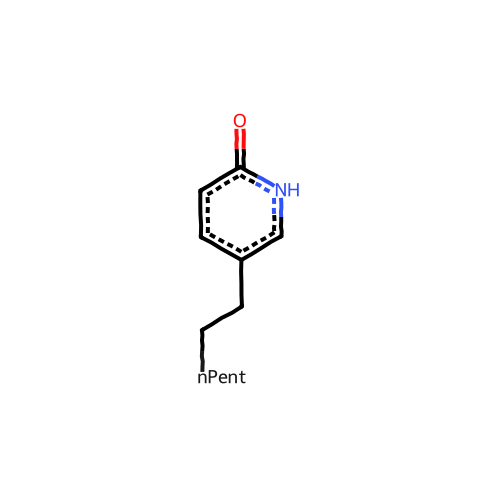 CCCCCCCc1ccc(=O)[nH]c1